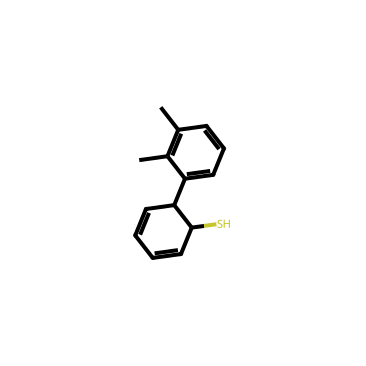 Cc1cccc(C2C=CC=CC2S)c1C